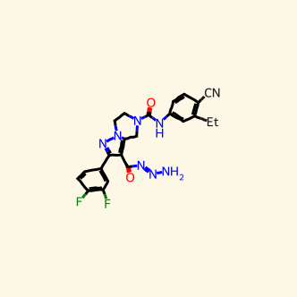 CCc1cc(NC(=O)N2CCn3nc(-c4ccc(F)c(F)c4)c(C(=O)N=NN)c3C2)ccc1C#N